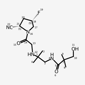 CC(C)(CNC(=O)C(C)(C)CO)NCC(=O)N1C[C@@H](F)C[C@H]1C#N